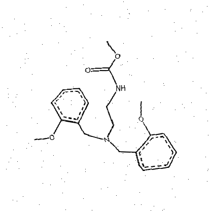 COC(=O)NCCN(Cc1ccccc1OC)Cc1ccccc1OC